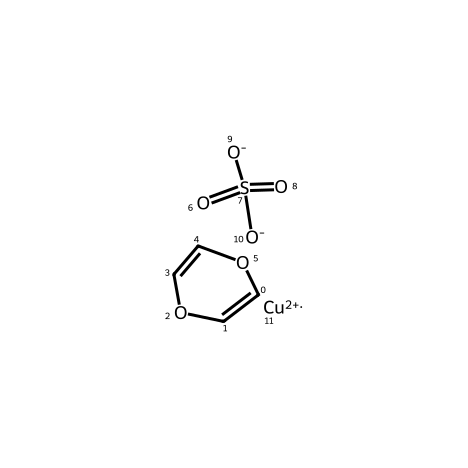 C1=COC=CO1.O=S(=O)([O-])[O-].[Cu+2]